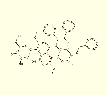 COc1ccc2c([C@@H]3O[C@H](CO)[C@H](O)[C@H](O)[C@H]3O)c(OC)ccc2c1[C@H]1O[C@@H](C)[C@@H](OCc2ccccc2)[C@@H](OCc2ccccc2)[C@@H]1OCc1ccccc1